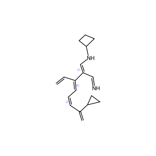 C=CC(=C\C=C/C(=C)C1CC1)/C(C=N)=C/NC1CCC1